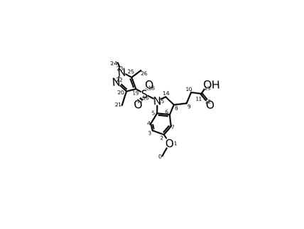 COc1ccc2c(c1)C(CCC(=O)O)CN2S(=O)(=O)c1c(C)nn(C)c1C